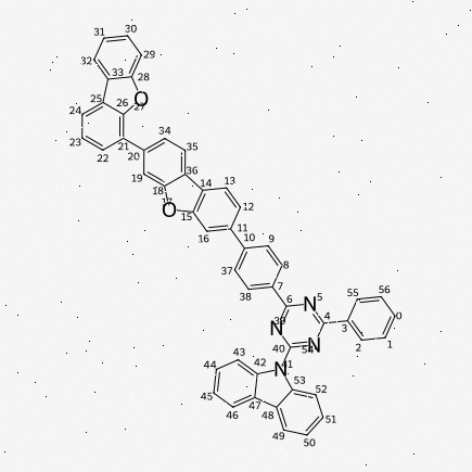 c1ccc(-c2nc(-c3ccc(-c4ccc5c(c4)oc4cc(-c6cccc7c6oc6ccccc67)ccc45)cc3)nc(-n3c4ccccc4c4ccccc43)n2)cc1